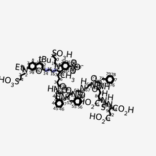 CCN(CCCS(=O)(=O)O)c1ccc2c(C(C)(C)C)cc(/C=C/C=C3\N(CCCS(=O)(=O)O)c4ccc(S(=O)(=O)[O-])cc4C3(C)CCCC(=O)N[C@@H](Cc3ccccc3)C(=O)N[C@@H](Cc3ccccc3)C(=O)NCC(=O)NCCNC(=O)[C@H](Cc3ccccc3)NC(=O)CC[C@H](NC(=S)N[C@@H](CCC(=O)O)C(=O)O)C(=O)O)[o+]c2c1